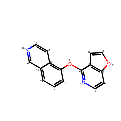 c1cc(Oc2nccc3occc23)c2ccncc2c1